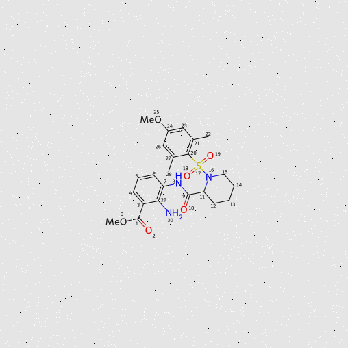 COC(=O)c1cccc(NC(=O)C2CCCCN2S(=O)(=O)c2c(C)cc(OC)cc2C)c1N